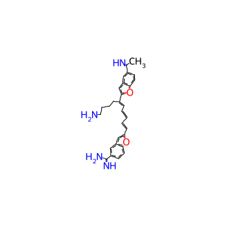 CC(=N)c1ccc2oc(/C(=C/C=C/C=C/c3cc4cc(C(=N)N)ccc4o3)CCCCN)cc2c1